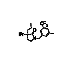 C=CCC1(C(C)C)CCN(Cc2cc(C)cc(C(F)(F)F)c2)C1=O